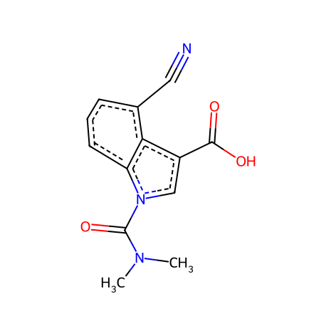 CN(C)C(=O)n1cc(C(=O)O)c2c(C#N)cccc21